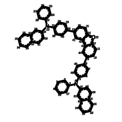 c1ccc(N(c2ccc(-c3ccc4oc5ccc(-c6ccc(N(c7ccccc7)c7ccc8ccccc8c7)cc6)cc5c4c3)cc2)c2ccc3ccccc3c2)cc1